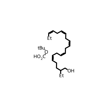 CC(C)(C)OC(=O)O.CC/C=C\C/C=C\C/C=C\C/C=C\C/C=C\CCC(CC)CO